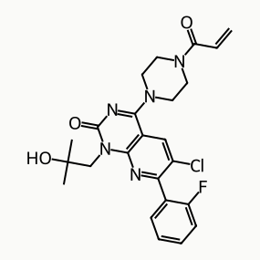 C=CC(=O)N1CCN(c2nc(=O)n(CC(C)(C)O)c3nc(-c4ccccc4F)c(Cl)cc23)CC1